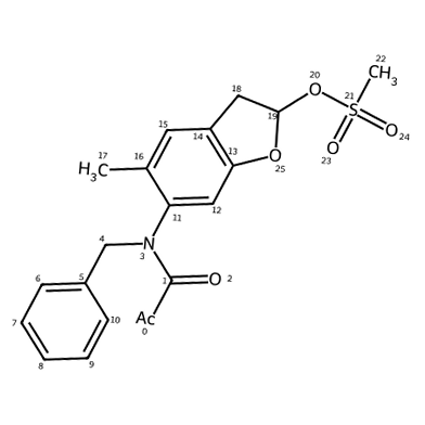 CC(=O)C(=O)N(Cc1ccccc1)c1cc2c(cc1C)CC(OS(C)(=O)=O)O2